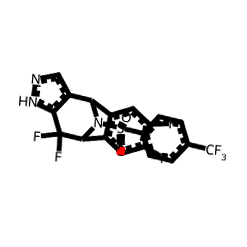 O=S(=O)(c1ccc(C(F)(F)F)cc1)N1C2c3cc(F)c(F)cc3C1C(F)(F)c1[nH]ncc12